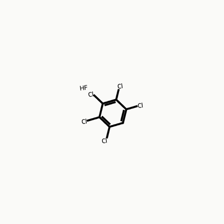 Clc1cc(Cl)c(Cl)c(Cl)c1Cl.F